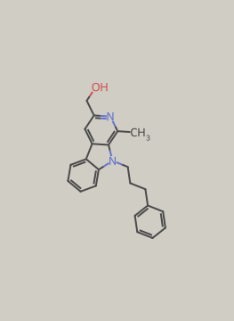 Cc1nc(CO)cc2c3ccccc3n(CCCc3ccccc3)c12